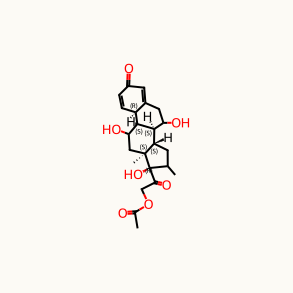 CC(=O)OCC(=O)[C@@]1(O)C(C)C[C@H]2[C@@H]3C(O)CC4=CC(=O)C=C[C@]4(C)[C@H]3C(O)C[C@@]21C